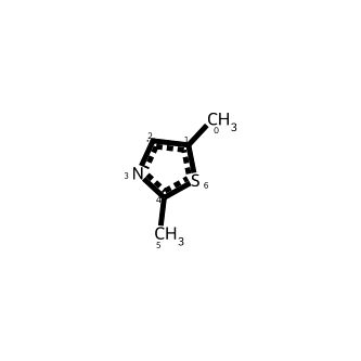 Cc1[c]nc(C)s1